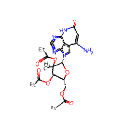 CCC(=O)OC[C@H]1O[C@@H](n2cc3c4c(ncnc42)NC(=O)C=C3N)C(C)(OC(=O)CC)[C@@H]1OC(=O)CC